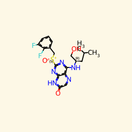 CC(C)C[C@H](CO)Nc1nc([S@+]([O-])Cc2cccc(F)c2F)nc2[nH]c(=O)cnc12